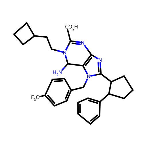 NC1c2c(nc(C3CCCC3c3ccccc3)n2Cc2ccc(C(F)(F)F)cc2)N=C(C(=O)O)N1CCC1CCC1